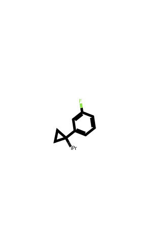 CC(C)C1(c2cccc(F)c2)CC1